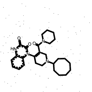 O=C(C1=C(n2c(=O)c(=O)[nH]c3ccccc32)CCN(C2CCCCCCC2)C1)N1CCCCC1